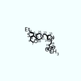 CCc1cc2c(s1)CCOC21CCN(Cc2cnn(CCS(C)(=O)=O)c2)CC1